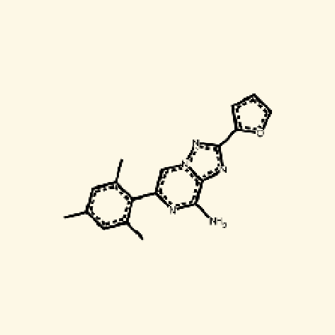 Cc1cc(C)c(-c2cn3nc(-c4ccco4)nc3c(N)n2)c(C)c1